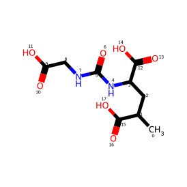 CC(CC(NC(=O)NCC(=O)O)C(=O)O)C(=O)O